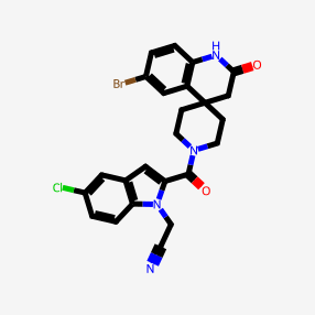 N#CCn1c(C(=O)N2CCC3(CC2)CC(=O)Nc2ccc(Br)cc23)cc2cc(Cl)ccc21